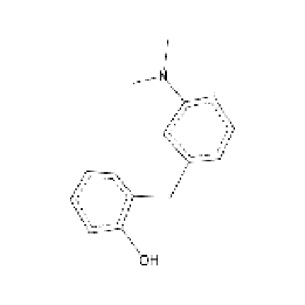 CN(C)c1[c]ccc(Cc2ccccc2O)c1